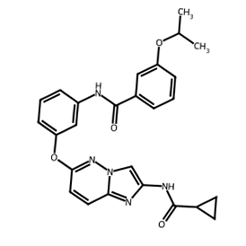 CC(C)Oc1cccc(C(=O)Nc2cccc(Oc3ccc4nc(NC(=O)C5CC5)cn4n3)c2)c1